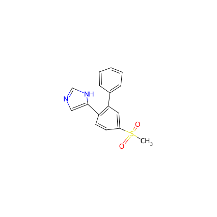 CS(=O)(=O)c1ccc(-c2cnc[nH]2)c(-c2ccccc2)c1